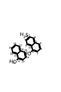 Oc1cccc2ccccc12.Oc1cccc2ccccc12.S